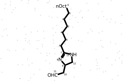 CCCCCCCCCCCCCCC1=NC(CC=O)CN1